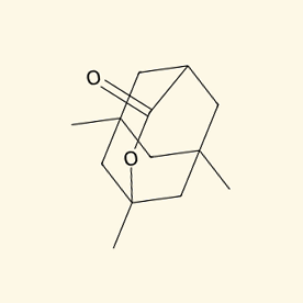 CC12CC3CC(C)(C1)CC(C)(C2)OC3=O